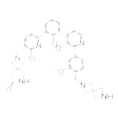 COc1cc(-c2nccc(-c3cccc(-c4ccc(CN5CC6(CNC(=O)C6)C5)c(OC)n4)c3Cl)c2Cl)ccc1CN1CC2(CNC2)C1